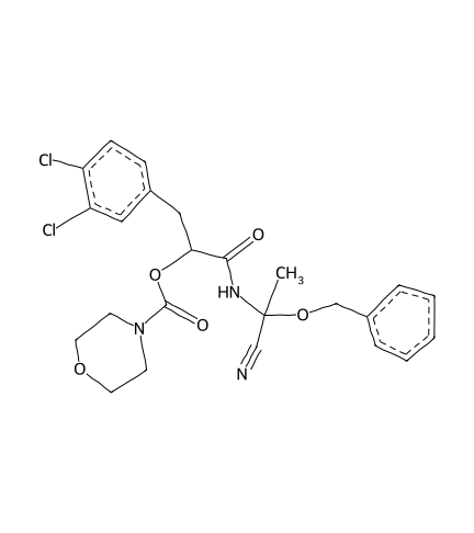 CC(C#N)(NC(=O)C(Cc1ccc(Cl)c(Cl)c1)OC(=O)N1CCOCC1)OCc1ccccc1